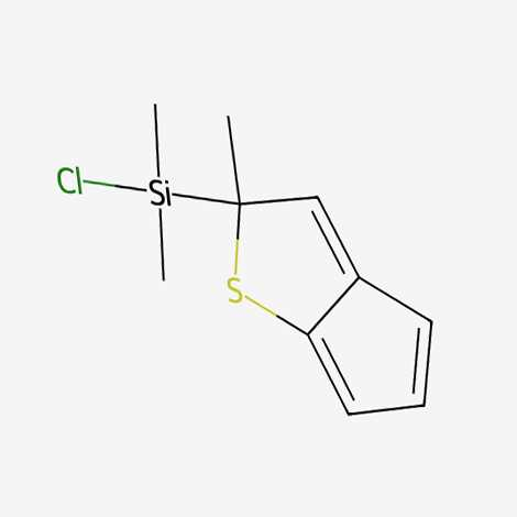 CC1([Si](C)(C)Cl)C=C2C=CC=C2S1